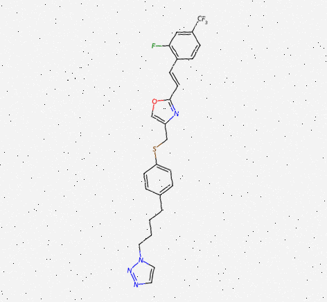 Fc1cc(C(F)(F)F)ccc1C=Cc1nc(CSc2ccc(CCCCn3ccnn3)cc2)co1